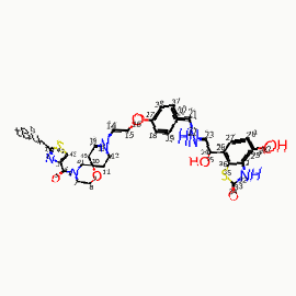 CC(C)(C)c1nc(C(=O)N2CCOC3(CCN(CCOc4ccc(CNCC(O)c5ccc(O)c6[nH]c(=O)sc56)cc4)CC3)C2)cs1